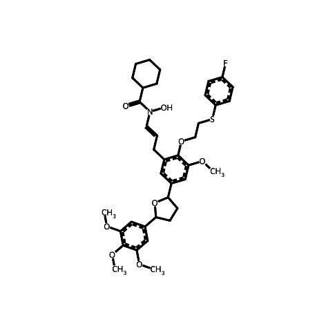 COc1cc(C2CCC(c3cc(OC)c(OC)c(OC)c3)O2)cc(CC=CN(O)C(=O)C2CCCCC2)c1OCCSc1ccc(F)cc1